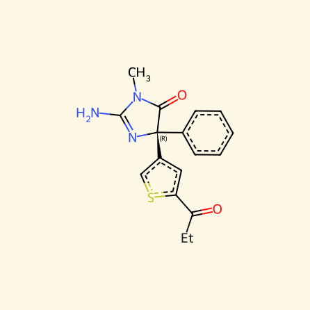 CCC(=O)c1cc([C@@]2(c3ccccc3)N=C(N)N(C)C2=O)cs1